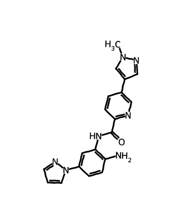 Cn1cc(-c2ccc(C(=O)Nc3cc(-n4cccn4)ccc3N)nc2)cn1